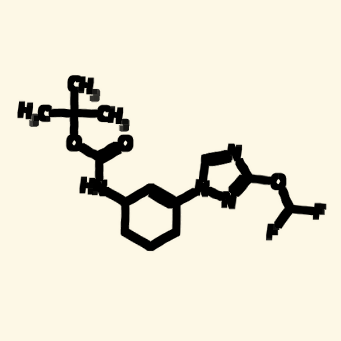 CC(C)(C)OC(=O)NC1C=C(n2cnc(OC(F)F)n2)CCC1